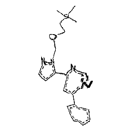 C[Si](C)(C)CCOCn1nccc1-c1cc(-c2ccccc2)ncn1